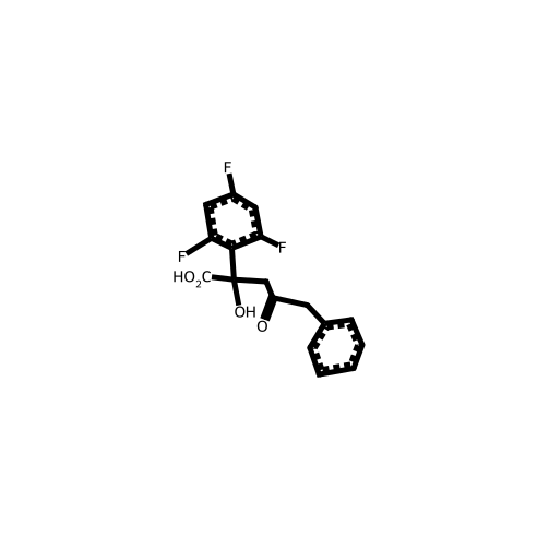 O=C(Cc1ccccc1)CC(O)(C(=O)O)c1c(F)cc(F)cc1F